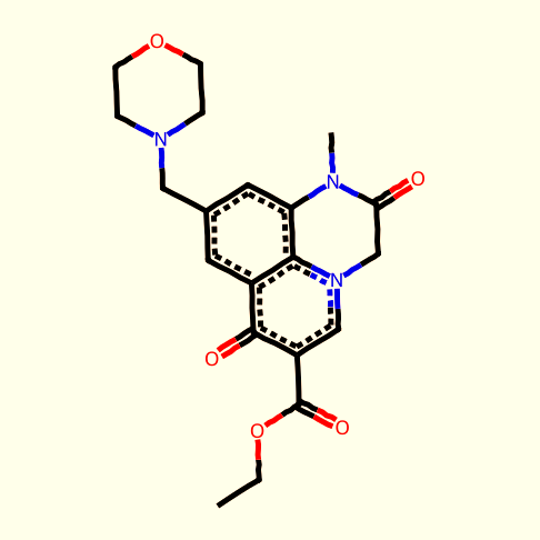 CCOC(=O)c1cn2c3c(cc(CN4CCOCC4)cc3c1=O)N(C)C(=O)C2